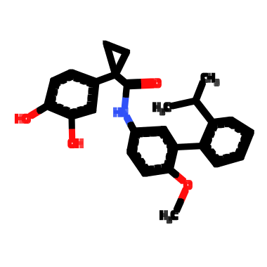 COc1ccc(NC(=O)C2(c3ccc(O)c(O)c3)CC2)cc1-c1ccccc1C(C)C